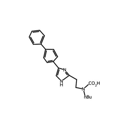 CCCCN(CCc1nc(-c2ccc(-c3ccccc3)cc2)c[nH]1)C(=O)O